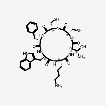 C[C@@H](O)[C@@H]1NC(=O)[C@H](CCCCN)NC(=O)[C@@H](Cc2c[nH]c3ccccc23)NC(=O)[C@H](Cc2ccccc2)NC(=O)[C@H](CS)NC(=O)[C@H](CS)NC1=O